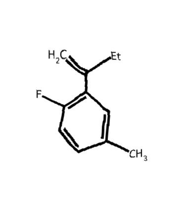 C=C(CC)c1cc(C)ccc1F